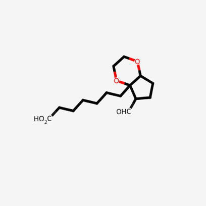 O=CC1CCC2OCCOC12CCCCCCC(=O)O